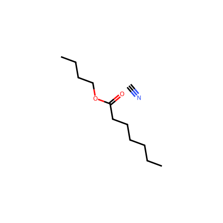 C#N.CCCCCCC(=O)OCCCC